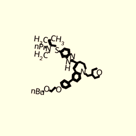 C=CN(CCC)C(CSc1ccc2nc(/C3=C/c4cc(-c5ccc(OCCOCCCC)cc5)ccc4N(CC4CCOCC4)CCC3)[nH]c2c1)=C(C)C